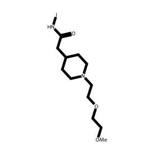 COCCOCCN1CCC(CC(=O)NI)CC1